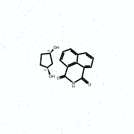 O=C1NC(=O)c2cccc3cccc1c23.O[C@@H]1CC[C@H](O)C1